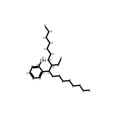 CCCCCCCCC(c1ccccc1O)C(CC)CCCCCCC